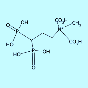 C[N+](CCC(P(=O)(O)O)P(=O)(O)O)(C(=O)O)C(=O)O